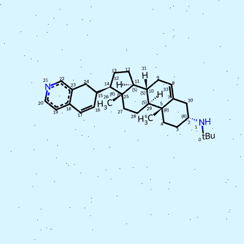 CC(C)(C)N[C@@H]1CC[C@@]2(C)C(=CC[C@H]3[C@@H]4CC[C@H](C5C=Cc6ccncc6C5)[C@@]4(C)CC[C@@H]32)C1